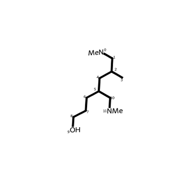 CNCC(C)CC(CCCO)CNC